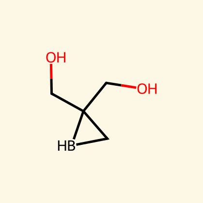 OCC1(CO)BC1